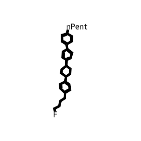 CCCCCc1ccc(-c2ccc(C3CCC(c4ccc(CCCCF)cc4)CC3)cc2)cc1